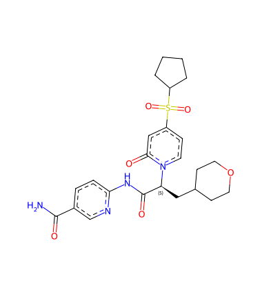 NC(=O)c1ccc(NC(=O)[C@H](CC2CCOCC2)n2ccc(S(=O)(=O)C3CCCC3)cc2=O)nc1